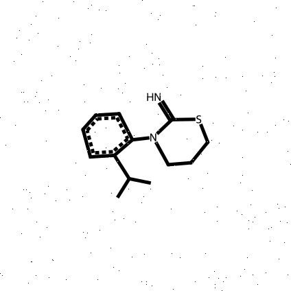 CC(C)c1ccccc1N1CCCSC1=N